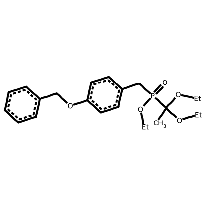 CCOC(C)(OCC)P(=O)(Cc1ccc(OCc2ccccc2)cc1)OCC